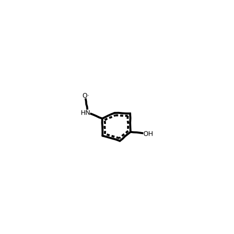 [O]Nc1ccc(O)cc1